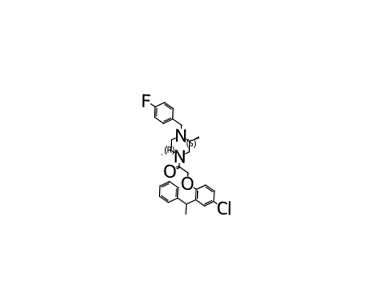 CC(c1ccccc1)c1cc(Cl)ccc1OCC(=O)N1C[C@H](C)N(Cc2ccc(F)cc2)C[C@H]1C